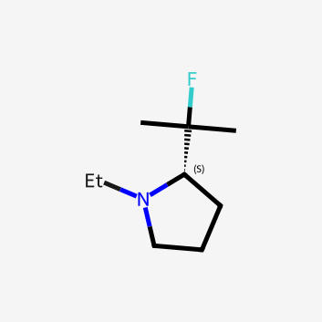 CCN1CCC[C@H]1C(C)(C)F